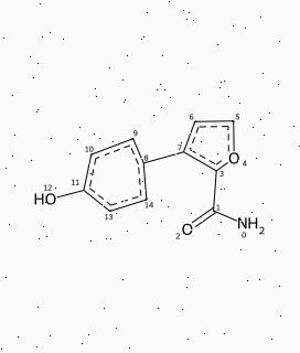 NC(=O)c1occc1-c1ccc(O)cc1